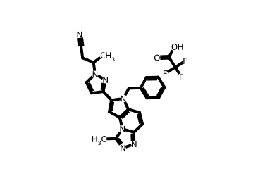 Cc1nnc2ccc3c(cc(-c4ccn(C(C)CC#N)n4)n3Cc3ccccc3)n12.O=C(O)C(F)(F)F